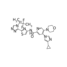 C[C@H](n1cnnc1-c1nc(NC(=O)c2cc(-n3cnc(C4CC4)c3)c(N3CCOCC3)cn2)cs1)C(C)(F)F